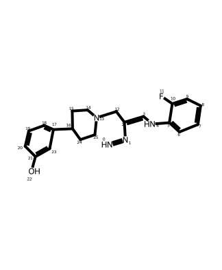 N=N/C(=C\Nc1ccccc1F)CN1CCC(c2cccc(O)c2)CC1